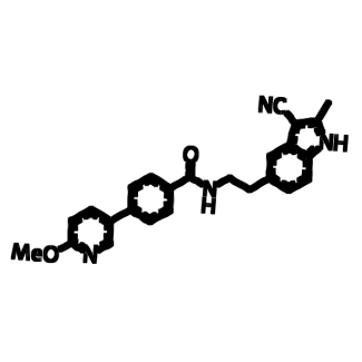 COc1ccc(-c2ccc(C(=O)NCCc3ccc4[nH]c(C)c(C#N)c4c3)cc2)cn1